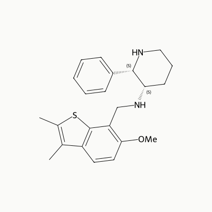 COc1ccc2c(C)c(C)sc2c1CN[C@H]1CCCN[C@H]1c1ccccc1